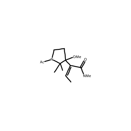 C/C=C(\C(=O)NC)C1(OC)CCN(C(C)=O)C1(C)C